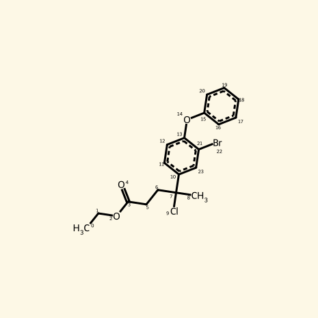 CCOC(=O)CCC(C)(Cl)c1ccc(Oc2ccccc2)c(Br)c1